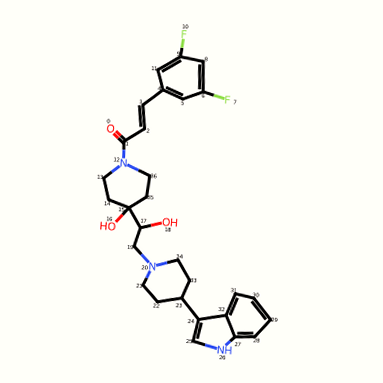 O=C(C=Cc1cc(F)cc(F)c1)N1CCC(O)(C(O)CN2CCC(c3c[nH]c4ccccc34)CC2)CC1